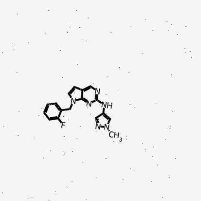 Cn1cc(Nc2ncc3ccn(Cc4ccccc4F)c3n2)cn1